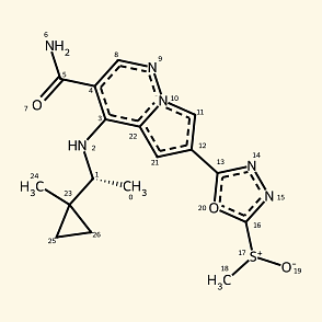 C[C@@H](Nc1c(C(N)=O)cnn2cc(-c3nnc([S+](C)[O-])o3)cc12)C1(C)CC1